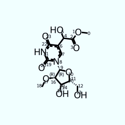 COC(=O)C(O)c1cn([C@@H]2O[C@H](CO)[C@@H](O)[C@H]2OC)c(=O)[nH]c1=O